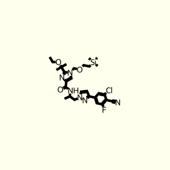 CCOC(C)(C)c1nc(C(=O)NC(C)Cn2ccc(-c3cc(F)c(C#N)c(Cl)c3)n2)cn1COCC[Si](C)(C)C